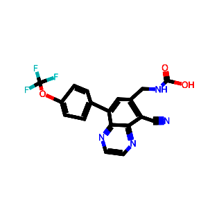 N#Cc1c(CNC(=O)O)cc(-c2ccc(OC(F)(F)F)cc2)c2nccnc12